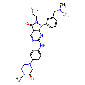 C=CCn1c(=O)c2cnc(Nc3ccc(N4CCN(C)C(=O)C4)cc3)nc2n1-c1cccc(CN(C)C)c1